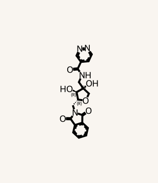 O=C(NC[C@]1(O)CO[C@H](CN2C(=O)c3ccccc3C2=O)[C@H]1O)c1ccnnc1